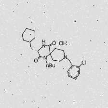 CCCCN1C(=O)[C@H](CC2CCCCC2)NC(=O)C12CCN(Cc1ccccc1Cl)CC2.Cl